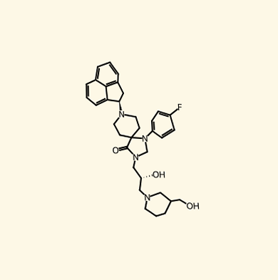 O=C1N(C[C@H](O)CN2CCCC(CO)C2)CN(c2ccc(F)cc2)C12CCN([C@@H]1Cc3cccc4cccc1c34)CC2